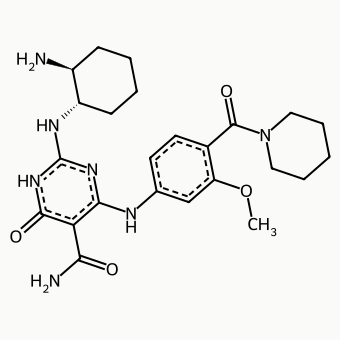 COc1cc(Nc2nc(N[C@H]3CCCC[C@@H]3N)[nH]c(=O)c2C(N)=O)ccc1C(=O)N1CCCCC1